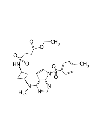 CCOC(=O)CCS(=O)(=O)N[C@H]1C[C@@H](N(C)c2ncnc3c2ccn3S(=O)(=O)c2ccc(C)cc2)C1